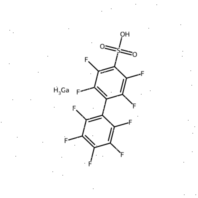 O=S(=O)(O)c1c(F)c(F)c(-c2c(F)c(F)c(F)c(F)c2F)c(F)c1F.[GaH3]